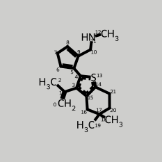 C=C(C)c1c(C2=CCC=C2CNC)sc2c1CC(C)(C)CC2